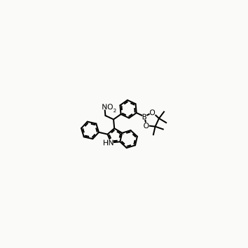 CC1(C)OB(c2cccc(C(C[N+](=O)[O-])c3c(-c4ccccc4)[nH]c4ccccc34)c2)OC1(C)C